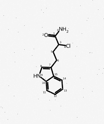 NC(=O)C(Cl)CCc1c[nH]c2ccccc12